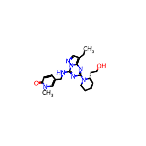 CCc1cnn2c(NCc3ccc(=O)n(C)c3)nc(N3CCCC[C@H]3CCO)nc12